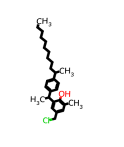 CCCCCCCCCCC(C)c1ccc(C(C)c2cc(CCl)cc(C)c2O)cc1